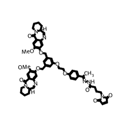 COc1cc2c(cc1OCc1cc(COc3cc4c(cc3OC)C(=O)N3CCCC[C@H]3C=N4)cc(OCCOc3ccc(/C(C)=N/NC(=O)CCCN4C(=O)C=CC4=O)cc3)c1)N=C[C@@H]1CCCCN1C2=O